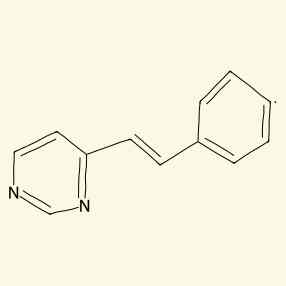 [c]1ccc(C=Cc2ccncn2)cc1